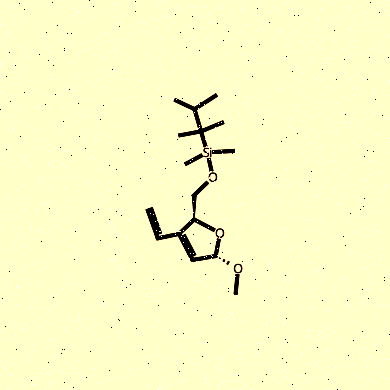 C=CC1=C[C@@H](OC)O[C@@H]1CO[Si](C)(C)C(C)(C)C(C)C